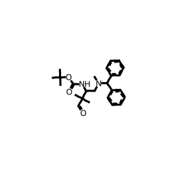 CN(CC(NC(=O)OC(C)(C)C)C(C)(C)C=O)C(c1ccccc1)c1ccccc1